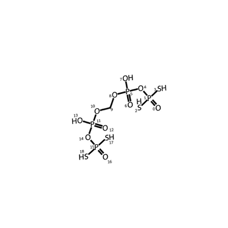 O=P(S)(S)OP(=O)(O)OCOP(=O)(O)OP(=O)(S)S